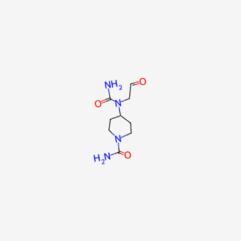 NC(=O)N1CCC(N(CC=O)C(N)=O)CC1